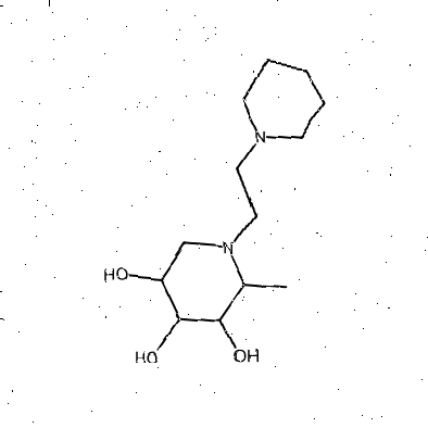 CC1C(O)C(O)C(O)CN1CCN1CCCCC1